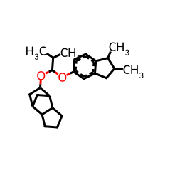 CC(C)C(Oc1ccc2c(c1)CC(C)C2C)OC1CC2CC1C1CCCC21